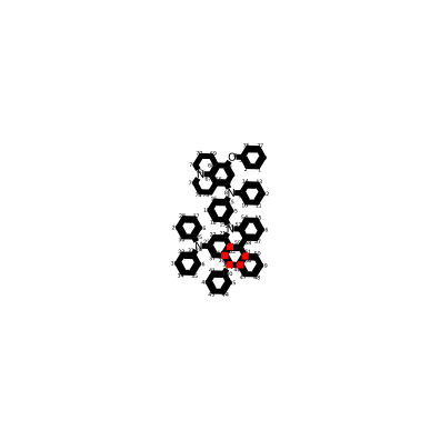 c1ccc(Oc2cc(N(c3ccccc3)c3cccc(N(c4cc(N(c5ccccc5)c5ccccc5)cc(N(c5ccccc5)c5ccccc5)c4)c4ccccc4-c4ccccc4)c3)c3c4c2CCCN4CCC3)cc1